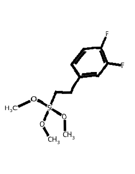 CO[Si](CCc1ccc(F)c(F)c1)(OC)OC